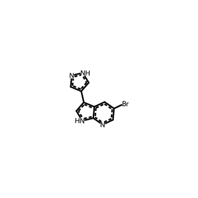 Brc1cnc2[nH]cc(-c3cn[nH]c3)c2c1